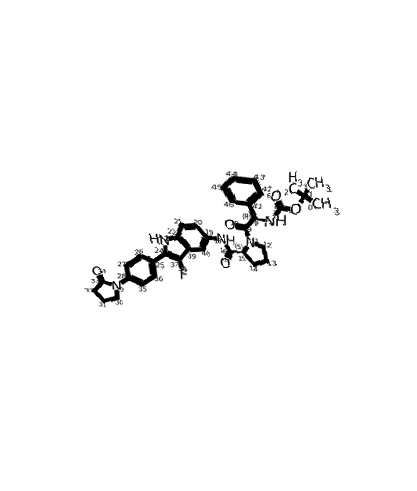 CC(C)(C)OC(=O)N[C@@H](C(=O)N1CCC[C@H]1C(=O)Nc1ccc2[nH]c(-c3ccc(N4CCCC4=O)cc3)c(F)c2c1)c1ccccc1